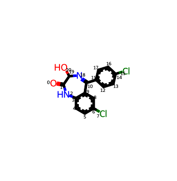 O=C1Nc2ccc(Cl)cc2C(c2ccc(Cl)cc2)=NC1O